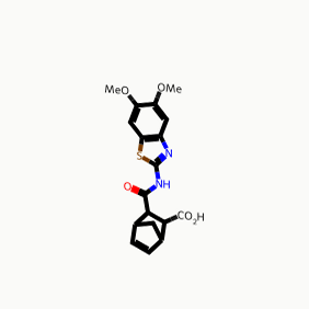 COc1cc2nc(NC(=O)C3C4C=CC(C4)C3C(=O)O)sc2cc1OC